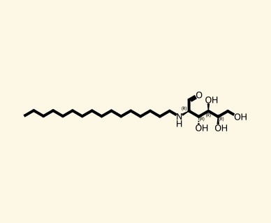 CCCCCCCCCCCCCCCCN[C@@H](C=O)[C@@H](O)[C@@H](O)[C@H](O)CO